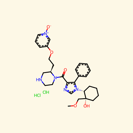 COC[C@]1(O)CCCC[C@H]1n1cnc(C(=O)N2CCNC[C@H]2CCOc2ccc[n+]([O-])c2)c1-c1ccccc1.Cl.Cl